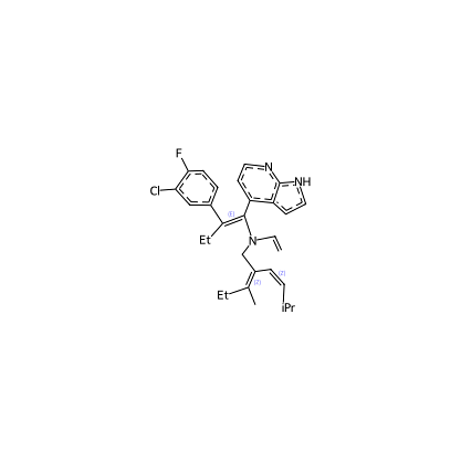 C=CN(CC(/C=C\C(C)C)=C(/C)CC)/C(=C(\CC)c1ccc(F)c(Cl)c1)c1ccnc2[nH]ccc12